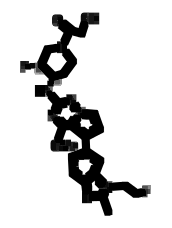 COc1nc(N[C@H]2CCN(C(=O)CO)C[C@H]2F)nn2ccc(-c3ccc4nc(C)n(CCF)c4c3)c12